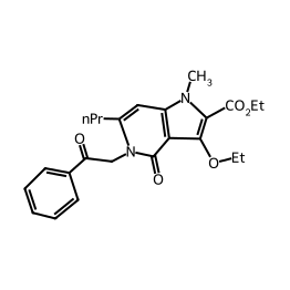 CCCc1cc2c(c(OCC)c(C(=O)OCC)n2C)c(=O)n1CC(=O)c1ccccc1